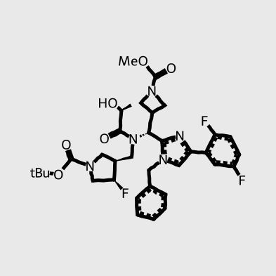 COC(=O)N1CC([C@H](c2nc(-c3cc(F)ccc3F)cn2Cc2ccccc2)N(C[C@@H]2CN(C(=O)OC(C)(C)C)C[C@@H]2F)C(=O)[C@H](C)O)C1